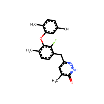 Cc1ccc(C#N)cc1Oc1c(C)ccc(Cc2cc(C)c(=O)[nH]n2)c1F